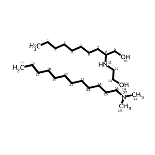 CCCCCCCCC(CO)NCCO.CCCCCCCCCCCCN(C)C